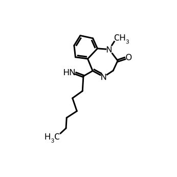 CCCCCCC(=N)C1=NCC(=O)N(C)c2ccccc21